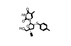 C#C[C@@]1(CO)C[C@@H](Sc2ccc(C)cc2)[C@H](n2cc(C)c(=O)[nH]c2=O)O1